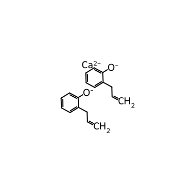 C=CCc1ccccc1[O-].C=CCc1ccccc1[O-].[Ca+2]